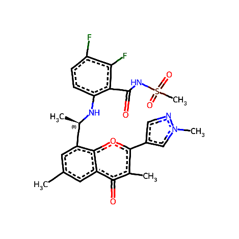 Cc1cc([C@@H](C)Nc2ccc(F)c(F)c2C(=O)NS(C)(=O)=O)c2oc(-c3cnn(C)c3)c(C)c(=O)c2c1